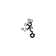 Nc1c2c(nn1CCc1ccccc1)CC(=O)NC2=O